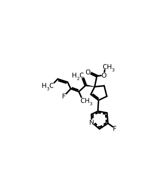 C=C(/C(C)=C(F)\C=C/C)[C@]1(C(=O)OC)C=C(c2cncc(F)c2)CC1